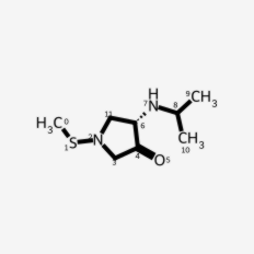 CSN1CC(=O)[C@@H](NC(C)C)C1